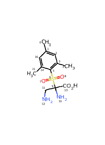 Cc1cc(C)c(S(=O)(=O)C(N)(CN)C(=O)O)c(C)c1